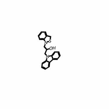 OC(CN1SCc2ccccc21)Cn1c2ccccc2c2ccccc21